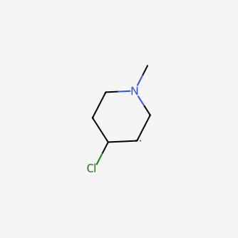 CN1C[CH]C(Cl)CC1